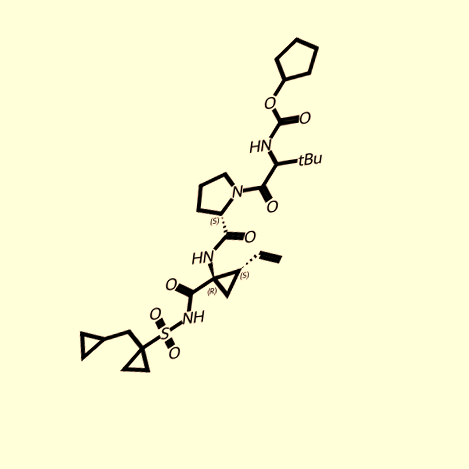 C=C[C@@H]1C[C@]1(NC(=O)[C@@H]1CCCN1C(=O)C(NC(=O)OC1CCCC1)C(C)(C)C)C(=O)NS(=O)(=O)C1(CC2CC2)CC1